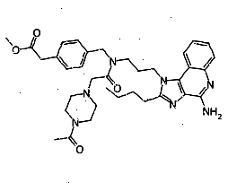 CCCCc1nc2c(N)nc3ccccc3c2n1CCCN(Cc1ccc(CC(=O)OC)cc1)C(=O)CN1CCN(C(C)=O)CC1